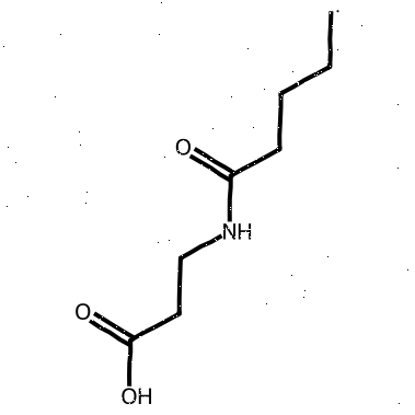 [CH2]CCCC(=O)NCCC(=O)O